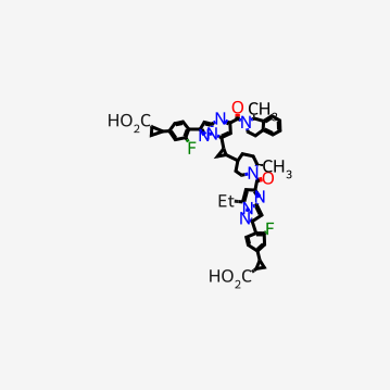 CCc1cc(C(=O)N2CCC(C3CC3c3cc(C(=O)N4CCc5ccccc5[C@H]4C)nc4cc(-c5ccc(C6CC6C(=O)O)cc5F)nn34)CC[C@H]2C)nc2cc(-c3ccc(C4CC4C(=O)O)cc3F)nn12